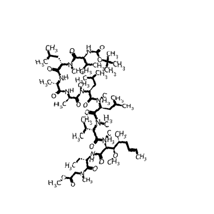 C/C=C/C[C@@H](C)[C@@H](OC)[C@@H](C(=O)N[C@@H](CC)C(=O)N(C)CC(=O)OC)N(C)C(=O)[C@H](C(C)C)N(C)C(=O)[C@H](CC(C)C)N(C)C(=O)[C@H](CC(C)C)N(C)C(=O)[C@@H](C)NC(=O)[C@H](C)NC(=O)[C@H](CC(C)C)N(C)C(=O)[C@@H](NC(=O)OC(C)(C)C)C(C)C